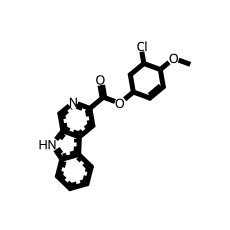 COC1C=CC(OC(=O)c2cc3c(cn2)[nH]c2ccccc23)CC1Cl